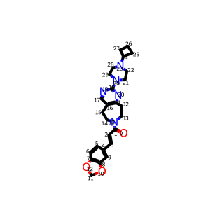 O=C(C=Cc1ccc2c(c1)OCO2)N1CCc2cnc(N3CCN(C4CCC4)CC3)nc2CC1